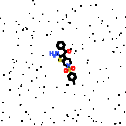 Cc1ccc(S(=O)(=O)N2CCc3c(sc(N)c3C(=O)c3ccccc3)C2)cc1